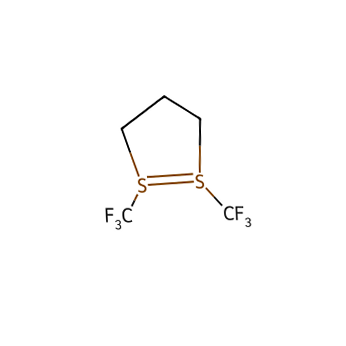 FC(F)(F)S1=S(C(F)(F)F)CCC1